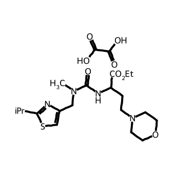 CCOC(=O)C(CCN1CCOCC1)NC(=O)N(C)Cc1csc(C(C)C)n1.O=C(O)C(=O)O